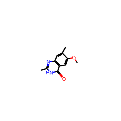 COc1cc2c(=O)[nH]c(C)nc2cc1C